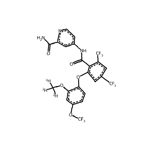 [2H]C([2H])([2H])Oc1cc(OC(F)(F)F)ccc1Oc1cc(C(F)(F)F)cc(C(F)(F)F)c1C(=O)Nc1ccnc(C(N)=O)c1